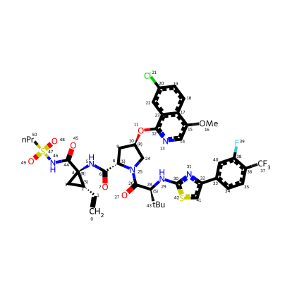 C=C[C@@H]1C[C@]1(NC(=O)[C@@H]1C[C@@H](Oc2ncc(OC)c3ccc(Cl)cc23)CN1C(=O)[C@@H](Nc1nc(-c2ccc(C(F)(F)F)c(F)c2)cs1)C(C)(C)C)C(=O)NS(=O)(=O)CCC